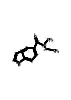 CON(C)C(=O)c1ccc2[nH]ccc2c1